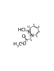 COC(=O)CN1C=CC=CC=N1.Cl